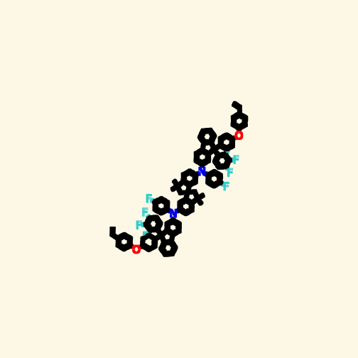 C=Cc1ccc(OC2=CC=C(C3(c4ccc(F)c(F)c4F)c4ccccc4-c4ccc(N(c5ccc(F)cc5)c5ccc6c(c5)C5(CC6(C)C)CC(C)(C)c6ccc(N(c7ccc(F)cc7)c7ccc8c(c7)C(c7ccc(Oc9ccc(C=C)cc9)cc7)(c7ccc(F)c(F)c7F)c7ccccc7-8)cc65)cc43)CC2)cc1